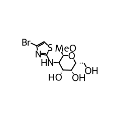 CO[C@H]1O[C@H](CO)[C@H](O)[C@H](O)[C@H]1Nc1nc(Br)cs1